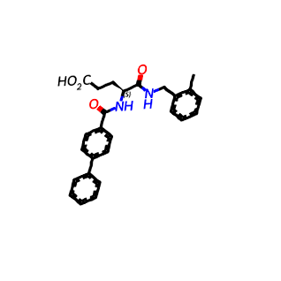 Cc1ccccc1CNC(=O)[C@H](CCC(=O)O)NC(=O)c1ccc(-c2ccccc2)cc1